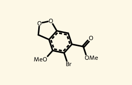 COC(=O)c1cc2c(c(OC)c1Br)COO2